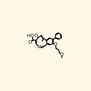 COCCCOc1cc2c(cc1-c1ccccc1)/C(C)=C/C(=O)/C(C(=O)O)=C\NCC2